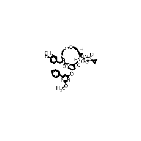 COc1ccc(CN2CCCCC/C=C\[C@H]3C[C@@]3(C(=O)NS(=O)(=O)C3CC3)NC(=O)[C@@H]3C[C@@H](Oc4cc(-c5ccccc5)nc(OC)n4)CN3C2=O)cc1